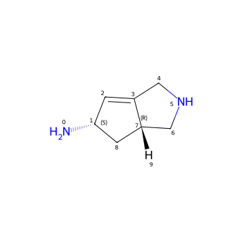 N[C@@H]1C=C2CNC[C@@H]2C1